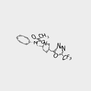 CS(=O)(=O)N(Cc1ccc(-c2nnc(C(F)(F)F)o2)cn1)c1ccccc1